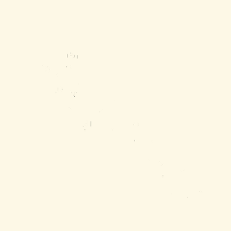 CC(C)(C)OC(=O)ON1CCC(c2ccc(OCCCSCc3ccccc3)cc2)C(O)C1